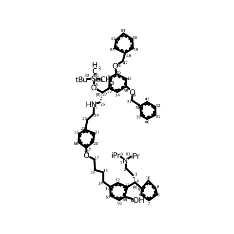 CC(C)N(CC[C@H](c1ccccc1)c1cc(CCCCOc2ccc(CCNC[C@H](O[Si](C)(C)C(C)(C)C)c3cc(OCc4ccccc4)cc(OCc4ccccc4)c3)cc2)ccc1O)C(C)C